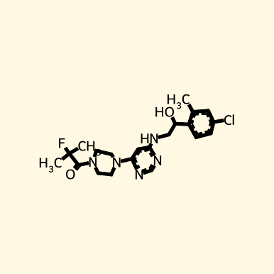 Cc1cc(Cl)ccc1C(O)CNc1cc(N2CCN(C(=O)C(C)(C)F)CC2)ncn1